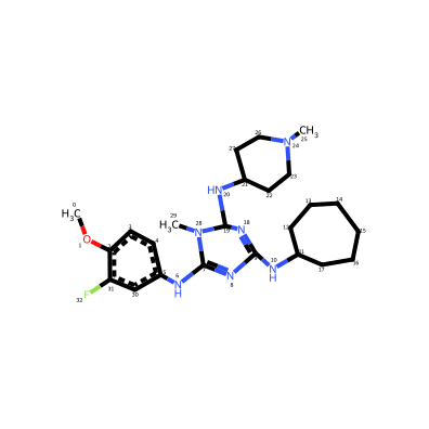 COc1ccc(NC2=NC(NC3CCCCCC3)=NC(NC3CCN(C)CC3)N2C)cc1F